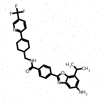 CC(C)c1cc(N)cc2nc(-c3ccc(C(=O)NCC4CC=C(c5ccc(C(F)(F)F)cn5)CC4)cc3)oc12